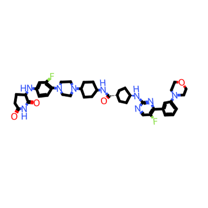 O=C1CCC(Nc2ccc(N3CCN(C4CCC(NC(=O)[C@H]5CC[C@H](Nc6ncc(F)c(-c7cccc(N8CCOCC8)c7)n6)CC5)CC4)CC3)c(F)c2)C(=O)N1